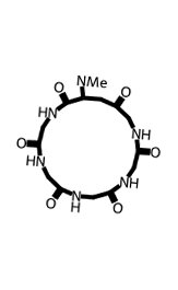 CNC1CC(=O)CNC(=O)CNC(=O)CNC(=O)CNC(=O)CNC1=O